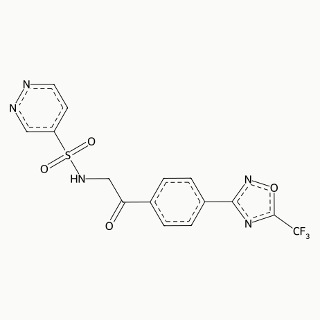 O=C(CNS(=O)(=O)c1ccnnc1)c1ccc(-c2noc(C(F)(F)F)n2)cc1